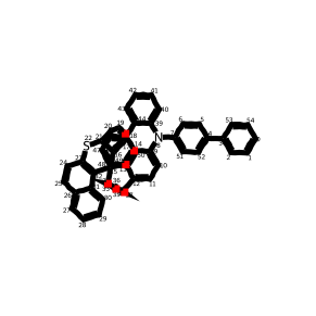 c1ccc(-c2ccc(N(c3ccc4c(c3)C3(c5ccccc5Sc5ccc6ccccc6c53)c3ccccc3-4)c3ccccc3-c3ccccc3)cc2)cc1